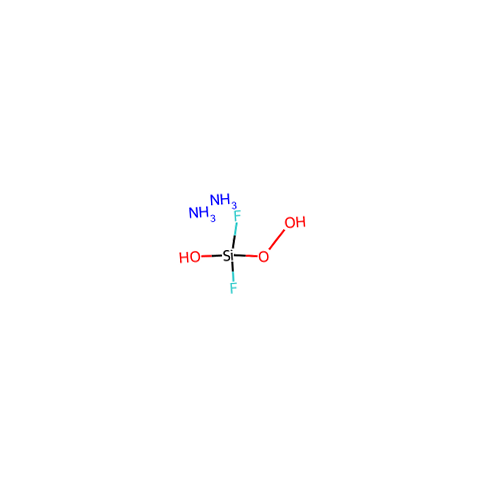 N.N.OO[Si](O)(F)F